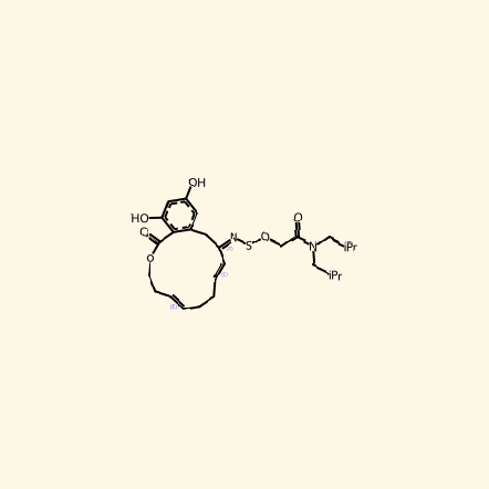 CC(C)CN(CC(C)C)C(=O)COS/N=C1\C=C\CC/C=C/CCOC(=O)c2c(O)cc(O)cc2C1